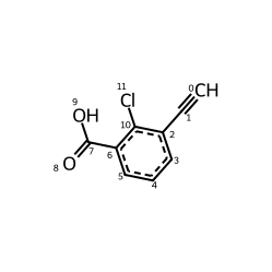 C#Cc1cccc(C(=O)O)c1Cl